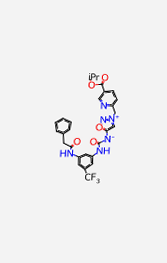 CC(C)OC(=O)c1ccc(C[n+]2cc([N-]C(=O)Nc3cc(NC(=O)Cc4ccccc4)cc(C(F)(F)F)c3)on2)nc1